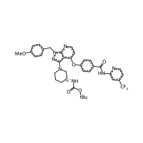 COc1ccc(Cn2nc(N3CCC[C@@H](NC(=O)OC(C)(C)C)C3)c3c(Oc4ccc(C(=O)Nc5cc(C(F)(F)F)ccn5)cc4)ccnc32)cc1